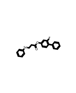 O=C(CC[Se]c1ccccc1)Oc1ccc(-c2ccccc2)c(F)c1